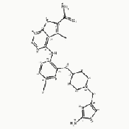 Cc1c(C(N)=O)sc2ncnc(Nc3ccc(F)cc3OC3CCN(Cc4csc(N)n4)CC3)c12